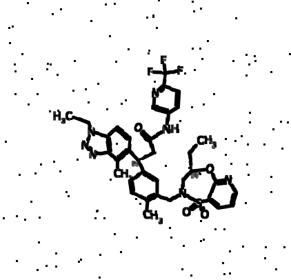 CC[C@@H]1CN(Cc2cc([C@H](CC(=O)Nc3ccc(C(F)(F)F)nc3)c3ccc4c(nnn4CC)c3C)ccc2C)S(=O)(=O)c2cccnc2O1